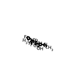 C[C@H](N(Cc1ccc(F)cc1)C(=O)CN1C(=O)N[C@]2(C[C@@H](O)c3cc(-c4cnn(C)c4)ccc32)C1=O)C(F)(F)F